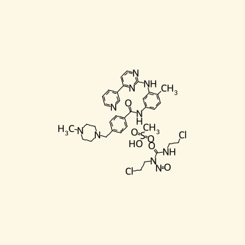 CS(=O)(=O)O.Cc1ccc(NC(=O)c2ccc(CN3CCN(C)CC3)cc2)cc1Nc1nccc(-c2cccnc2)n1.O=NN(CCCl)C(=O)NCCCl